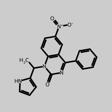 CC(c1ccc[nH]1)n1c(=O)nc(-c2ccccc2)c2cc([N+](=O)[O-])ccc21